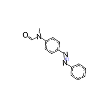 CN(C=O)c1ccc(/N=N/c2ccccc2)cc1